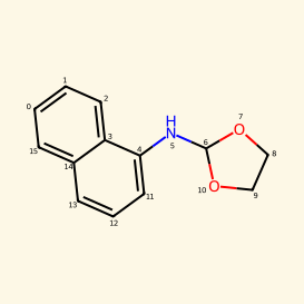 c1ccc2c(NC3OCCO3)cccc2c1